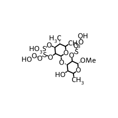 CO[C@@H]1OC(C)[C@@H](O)[C@H](O[C@@H]2OC(C)[C@@H](C)[C@H](OS(=O)(=O)O)C2OSOOO)C1OSOOO